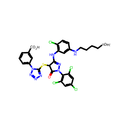 CCCCCCCCCCCCCCNc1ccc(Cl)c(NC2=NN(c3c(Cl)cc(Cl)cc3Cl)C(=O)C2Sc2nnnn2-c2cccc(C(=O)O)c2)c1